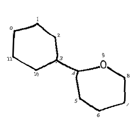 C1CC[C](C2CCCCO2)CC1